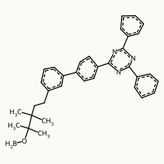 BOC(C)(C)C(C)(C)CCc1cccc(-c2ccc(-c3nc(-c4ccccc4)nc(-c4ccccc4)n3)cc2)c1